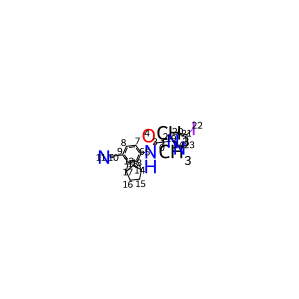 CC(C)(C(=O)Nc1ccc(C#N)c2c1C1CCC2C1)n1cc(I)cn1